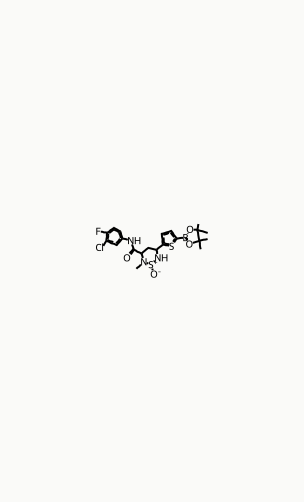 CN1C(C(=O)Nc2ccc(F)c(Cl)c2)CC(c2ccc(B3OC(C)(C)C(C)(C)O3)s2)N[S+]1[O-]